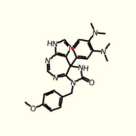 COc1ccc(CN2C(=O)NC3(c4ccc(N(C)C)c(N(C)C)c4)C2=NC=Nc2[nH]cnc23)cc1